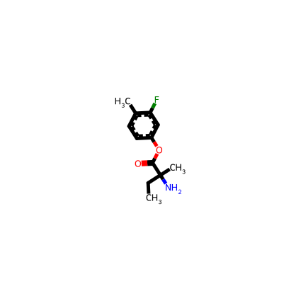 CCC(C)(N)C(=O)Oc1ccc(C)c(F)c1